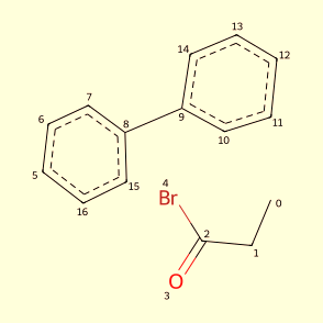 CCC(=O)Br.c1ccc(-c2ccccc2)cc1